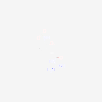 CS(=O)(=O)Nc1cccc2c1OCCC(C(=O)NC(=N)N)=C2